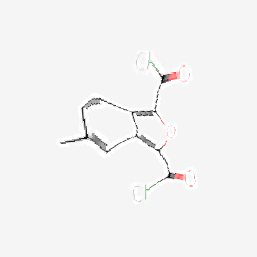 Cc1ccc2c(C(=O)Cl)oc(C(=O)Cl)c2c1